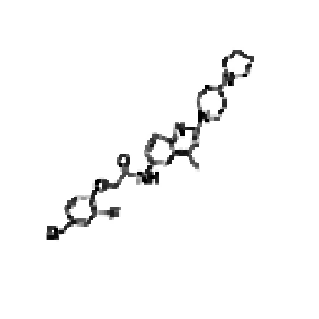 Cc1cc(N2CCC(N3CCCC3)CC2)nc2ccc(NC(=O)COc3ccc(Br)cc3F)cc12